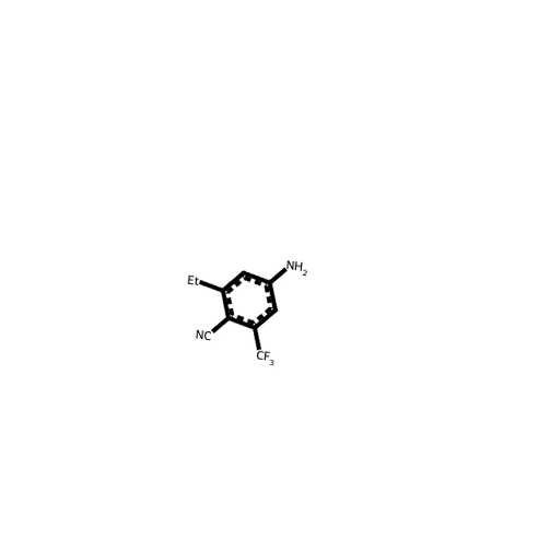 CCc1cc(N)cc(C(F)(F)F)c1C#N